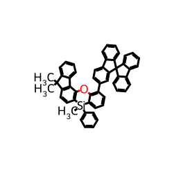 CC1(C)c2ccccc2-c2c1ccc1c2Oc2c(-c3ccc4c(c3)C3(c5ccccc5-c5ccccc53)c3ccccc3-4)cccc2[Si]1(C)c1ccccc1